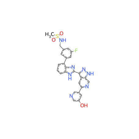 CS(=O)(=O)NCc1cc(F)cc(-c2cccc3[nH]c(-c4n[nH]c5cnc(-c6cncc(O)c6)cc45)nc23)c1